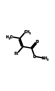 CCC(C(=O)ON)=C(C)C